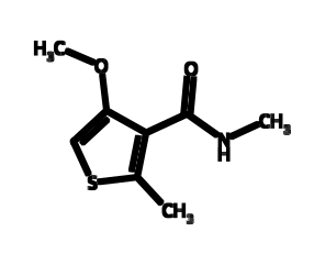 CNC(=O)c1c(OC)csc1C